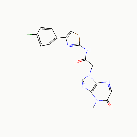 Cn1c(=O)cnc2c1ncn2CC(=O)Nc1nc(-c2ccc(Cl)cc2)cs1